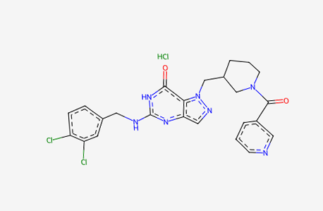 Cl.O=C(c1cccnc1)N1CCCC(Cn2ncc3nc(NCc4ccc(Cl)c(Cl)c4)[nH]c(=O)c32)C1